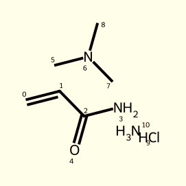 C=CC(N)=O.CN(C)C.Cl.N